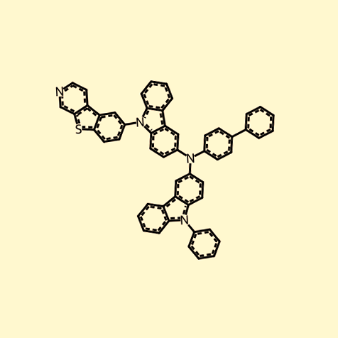 c1ccc(-c2ccc(N(c3ccc4c(c3)c3ccccc3n4-c3ccccc3)c3ccc4c(c3)c3ccccc3n4-c3ccc4sc5cnccc5c4c3)cc2)cc1